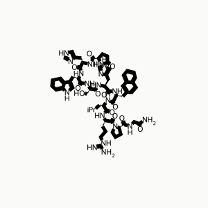 CC(C)C[C@H](NC(=O)[C@@H](Cc1ccc2ccccc2c1)NC(=O)[C@H](Cc1c[nH]cn1)NC(=O)[C@H](CO)NC(=O)[C@H](Cc1c[nH]c2ccccc12)NC(=O)[C@H](Cc1c[nH]cn1)NC(=O)[C@@H]1CCC(=O)N1)C(=O)N[C@@H](CCCNC(=N)N)C(=O)N1CCC[C@H]1C(=O)NCC(N)=O